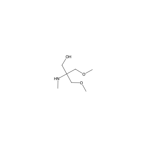 CNC(CO)(COC)COC